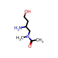 CC(=O)N(C)CC(N)CCO